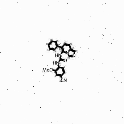 COc1cc(C#N)ccc1NC(=O)Nc1c(-c2ccccc2)ccc2cncn12